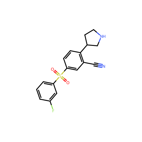 N#Cc1cc(S(=O)(=O)c2cccc(F)c2)ccc1C1CCNC1